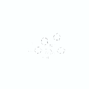 CC1(C)CCOc2cc(O)c(C3(O)C(=O)N(C(c4ccccc4)c4ccccc4)c4ccccc43)cc21